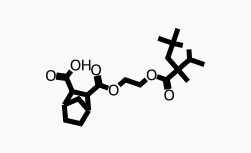 CC(C)C(C)(CC(C)(C)C)C(=O)OCCOC(=O)C1C2CCC(C2)C1C(=O)O